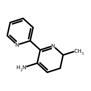 CC1CC=C(N)C(c2ccccn2)=N1